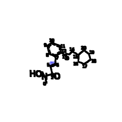 CN(O)C(=O)/C=C/c1ccccc1SCC1CCCCC1